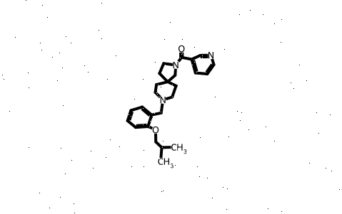 CC(C)COc1ccccc1CN1CCC2(CC1)CCN(C(=O)c1cccnc1)C2